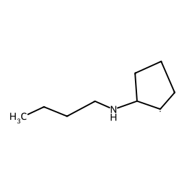 CCCCNC1[CH]CCC1